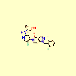 CC[C@@H](CO)Nc1cc(-n2ccc3c(cnn3Cc3c(F)cccc3F)c2=O)c(F)cn1